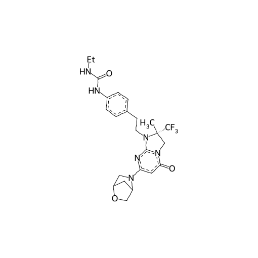 CCNC(=O)Nc1ccc(CCN2c3nc(N4CC5CC4CO5)cc(=O)n3C[C@@]2(C)C(F)(F)F)cc1